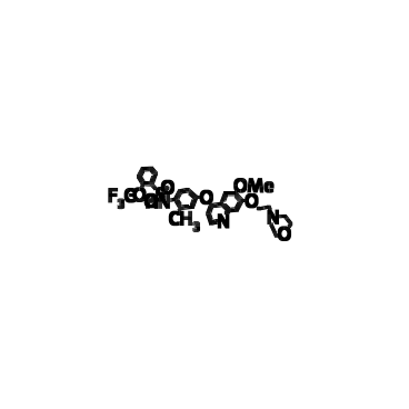 COc1cc2c(Oc3ccc(NS(=O)(=O)c4ccccc4OC(F)(F)F)c(C)c3)ccnc2cc1OCCN1CCOCC1